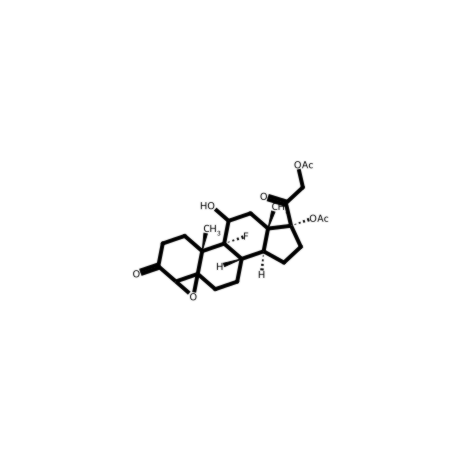 CC(=O)OCC(=O)[C@@]1(OC(C)=O)CC[C@H]2[C@@H]3CCC45OC4C(=O)CC[C@]5(C)[C@@]3(F)C(O)C[C@@]21C